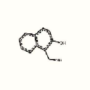 CC(C)(C)Cc1c(O)ccc2ccccc12